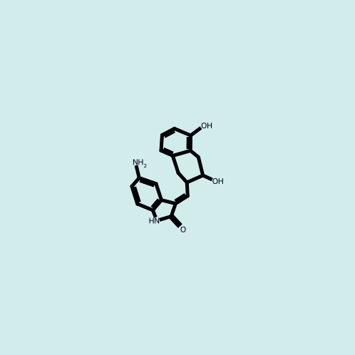 Nc1ccc2c(c1)C(=CC1Cc3cccc(O)c3CC1O)C(=O)N2